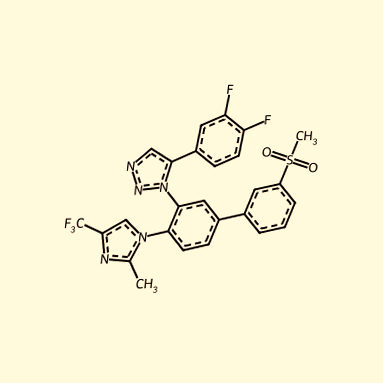 Cc1nc(C(F)(F)F)cn1-c1ccc(-c2cccc(S(C)(=O)=O)c2)cc1-n1nncc1-c1ccc(F)c(F)c1